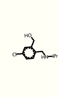 CC(C)NCc1ccc(Cl)cc1CO